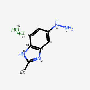 CCc1nc2cc(NN)ccc2[nH]1.Cl.Cl